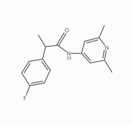 Cc1cc(NC(=O)C(C)c2ccc(F)cc2)cc(C)n1